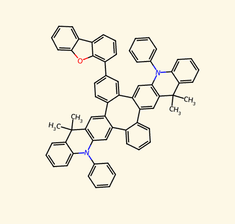 CC1(C)c2ccccc2N(c2ccccc2)c2cc3c(cc21)-c1ccc(-c2cccc4c2oc2ccccc24)cc1-c1cc2c(cc1-c1ccccc1-3)C(C)(C)c1ccccc1N2c1ccccc1